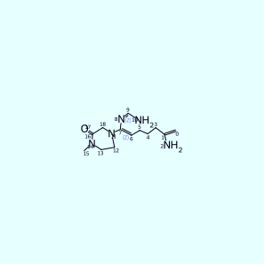 C=C(N)CCC/C=C(\N=C/N)N1CCN(C)C(=O)C1